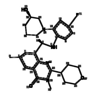 Cc1cc([C@@H](C)Nc2ccc(F)cc2N2CCC[C@@H](O)C2)c2nc(C3CCOCC3)n(C)c(=O)c2c1